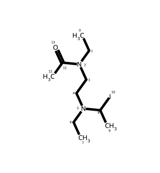 CCN(CCN(CC)C(C)I)C(C)=O